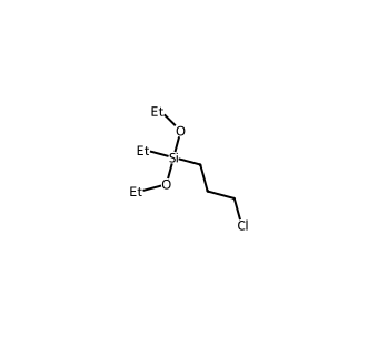 CCO[Si](CC)(CCCCl)OCC